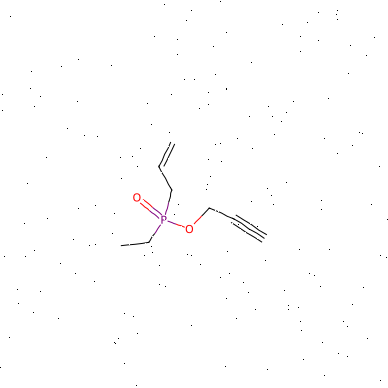 C#CCOP(=O)(CC)CC=C